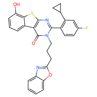 O=c1c2c(nc(-c3ccc(F)cc3C3CC3)n1CCCc1nc3ccccc3o1)sc1c(O)cccc12